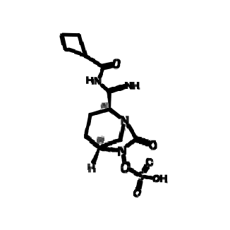 N=C(NC(=O)C1CCC1)[C@@H]1CC[C@@H]2CN1C(=O)N2OS(=O)(=O)O